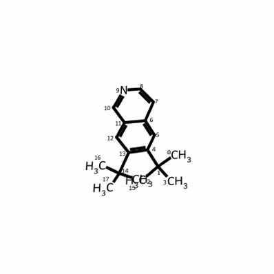 CC(C)(C)c1cc2ccncc2cc1C(C)(C)C